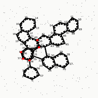 c1ccc(-c2ccc3c(ccc4c5ccccc5ccc34)c2-c2ccc3ccccc3c2-c2c(-c3ccccc3)ccc3c2ccc2c4ccccc4ccc32)cc1